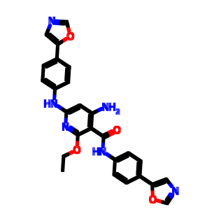 CCOc1nc(Nc2ccc(-c3cnco3)cc2)cc(N)c1C(=O)Nc1ccc(-c2cnco2)cc1